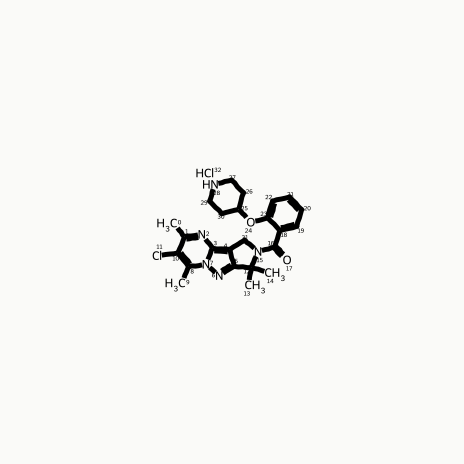 Cc1nc2c3c(nn2c(C)c1Cl)C(C)(C)N(C(=O)c1ccccc1OC1CCNCC1)C3.Cl